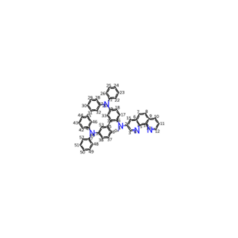 CN(c1cnc2c(ccc3cccnc32)c1)c1ccc(N(c2ccccc2)c2ccccc2)cc1-c1cccc(N(c2ccccc2)c2ccccc2)c1